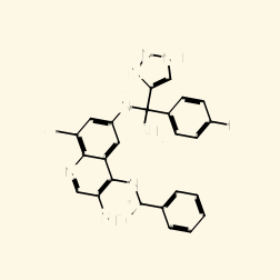 BC(Nc1cc(Cl)c2ncc(C#N)c(N[C@H](CC)c3ccccc3)c2c1)(C1=CNNN1)c1ccc(F)cc1